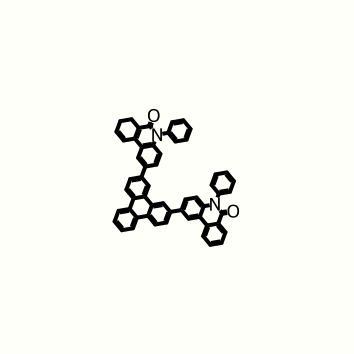 O=c1c2c(c3cc(-c4ccc5c6ccccc6c6ccc(-c7ccc8c(c7)c7ccccc7c(=O)n8-c7ccccc7)cc6c5c4)ccc3n1-c1ccccc1)C=CCC2